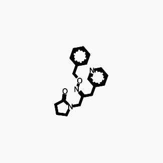 O=C1CCCN1CC(Cc1cccnc1)=NOCc1ccccc1